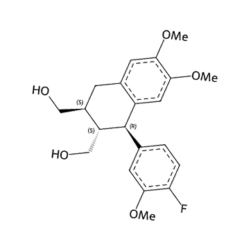 COc1cc([C@@H]2c3cc(OC)c(OC)cc3C[C@H](CO)[C@H]2CO)ccc1F